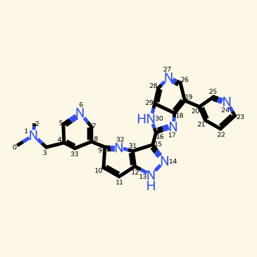 CN(C)Cc1cncc(-c2ccc3[nH]nc(-c4nc5c(-c6cccnc6)cncc5[nH]4)c3n2)c1